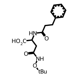 CC(C)(C)ONC(=O)CC(NC(=O)CCc1ccccc1)C(=O)O